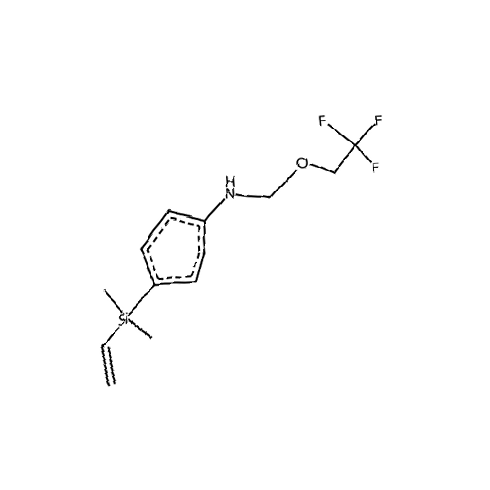 C=C[Si](C)(C)c1ccc(NCOCC(F)(F)F)cc1